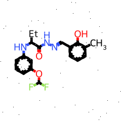 CCC(Nc1cccc(OC(F)F)c1)C(=O)NN=Cc1cccc(C)c1O